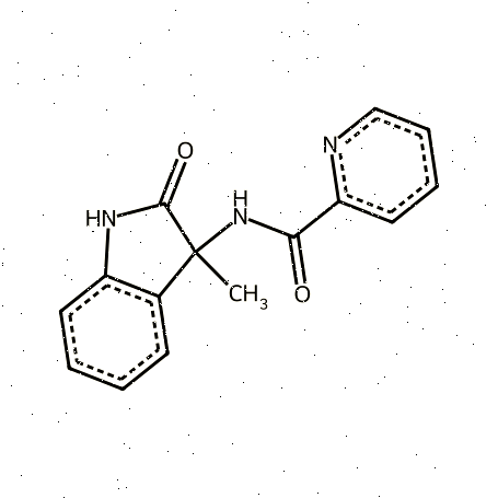 CC1(NC(=O)c2ccccn2)C(=O)Nc2ccccc21